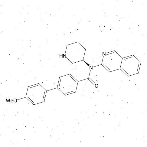 COc1ccc(-c2ccc(C(=O)N(c3cc4ccccc4cn3)[C@@H]3CCCNC3)cc2)cc1